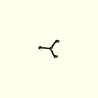 CC(C)[S+](C(C)C)C(C)C